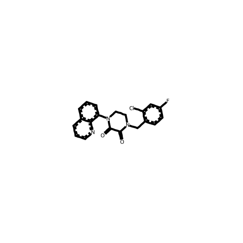 O=C1C(=O)N(c2cccc3cccnc23)CCN1Cc1ccc(F)cc1Cl